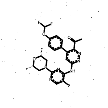 CC(=O)c1nnc(Nc2nc(N3C[C@@H](C)O[C@@H](C)C3)ncc2F)cc1-c1ccc(OC(F)F)cc1